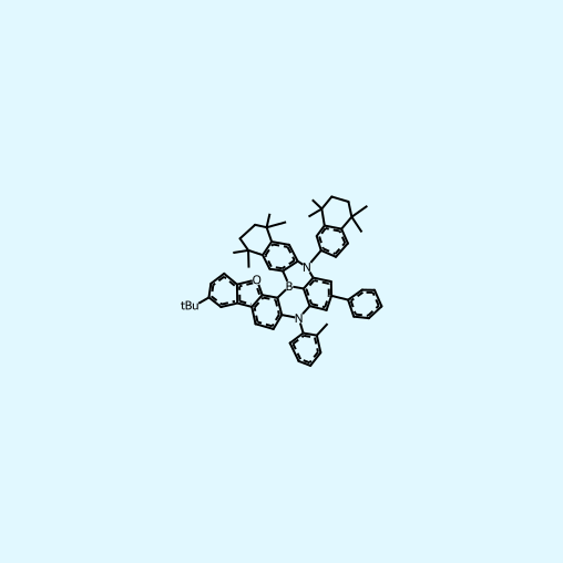 Cc1ccccc1N1c2cc(-c3ccccc3)cc3c2B(c2cc4c(cc2N3c2ccc3c(c2)C(C)(C)CCC3(C)C)C(C)(C)CCC4(C)C)c2c1ccc1c2oc2ccc(C(C)(C)C)cc21